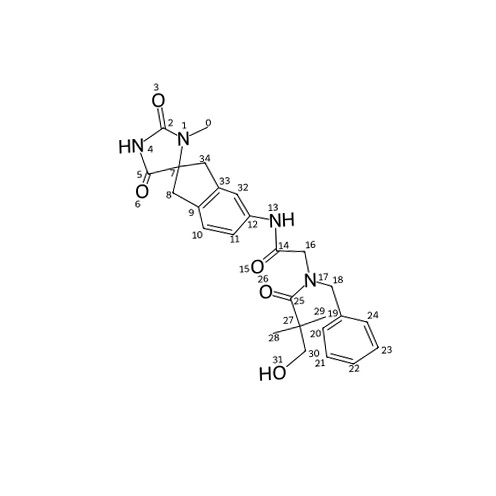 CN1C(=O)NC(=O)C12Cc1ccc(NC(=O)CN(Cc3ccccc3)C(=O)C(C)(C)CO)cc1C2